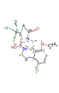 COc1ccc(Cl)c2c1[C@@H](CN1CC(C(F)(F)F)CC1=O)N(C(=O)O)CC2